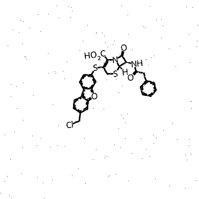 O=C(Cc1ccccc1)N[C@@H]1C(=O)N2C(C(=O)O)=C(Sc3ccc4c(c3)oc3cc(CCl)ccc34)CS[C@@H]12